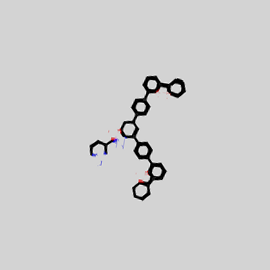 CN1CC=CC(c2nc3c(o2)CC(c2ccc(-c4cccc5c4oc4ccc#cc45)cc2)C=C3c2ccc(-c3cccc4c5c(oc34)CCC=C5)cc2)C1